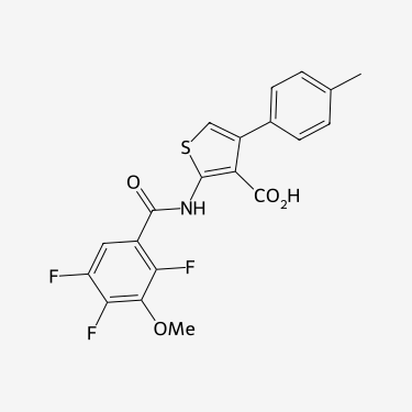 COc1c(F)c(F)cc(C(=O)Nc2scc(-c3ccc(C)cc3)c2C(=O)O)c1F